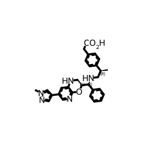 C[C@@H](CN[C@H](c1ccccc1)[C@@H]1CNc2cc(-c3cnn(C)c3)cnc2O1)c1ccc(CC(=O)O)cc1